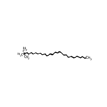 CCCCCCCCCCCCCCCCCCCCCCCCCC(C)(C)C